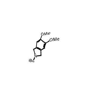 CCC(C)N1Cc2cc(OC)c(OC)cc2C1